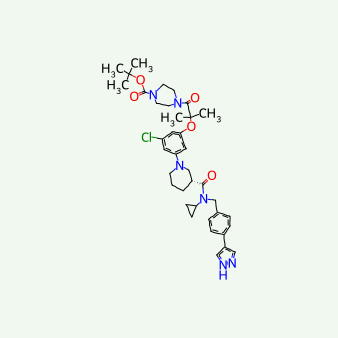 CC(C)(C)OC(=O)N1CCN(C(=O)C(C)(C)Oc2cc(Cl)cc(N3CCC[C@@H](C(=O)N(Cc4ccc(-c5cn[nH]c5)cc4)C4CC4)C3)c2)CC1